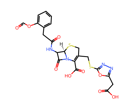 O=COc1ccccc1CC(=O)NC1C(=O)N2C(C(=O)O)=C(CSc3nnc(CC(=O)O)o3)CS[C@H]12